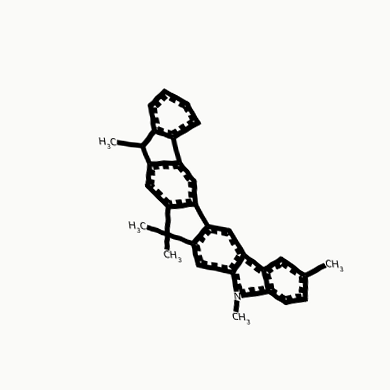 Cc1ccc2c(c1)c1cc3c(cc1n2C)C(C)(C)c1cc2c(cc1-3)-c1ccccc1C2C